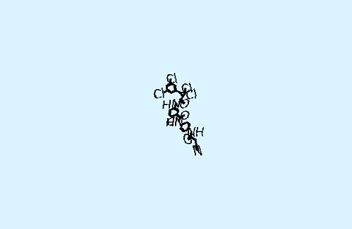 N#CCC(=O)Nc1ccc(NC(=O)c2cc(NC(=O)C3C(c4cc(Cl)cc(Cl)c4)C3(Cl)Cl)ccc2Cl)cc1